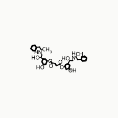 C[C@H](Cc1ccccc1)NC[C@H](O)c1cc(O)cc(OC(=O)/C=C/C(=O)Oc2cc(O)cc([C@@H](O)CN[C@H](C)Cc3ccccc3)c2)c1